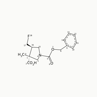 C[C@]1(C(=O)O)CN(C(=O)OCc2ccccc2)C[C@@H]1CF